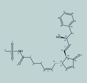 CS(=O)(=O)NC(=O)CCC/C=C\C[C@H]1C=CC(=O)[C@@H]1/C=C/[C@@H](O)Cc1ccccc1